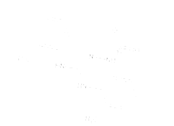 Cc1ccccc1NC(=NN[SH](=O)=O)Nc1ccccc1C